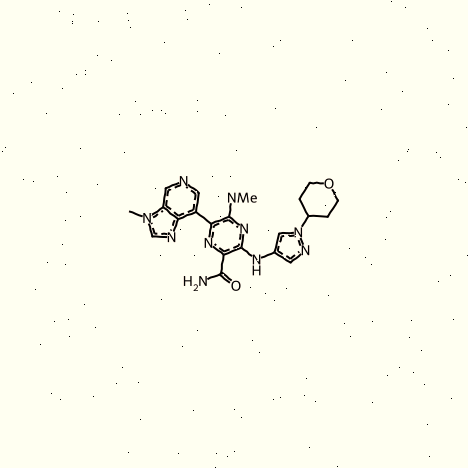 CNc1nc(Nc2cnn(C3CCOCC3)c2)c(C(N)=O)nc1-c1cncc2c1ncn2C